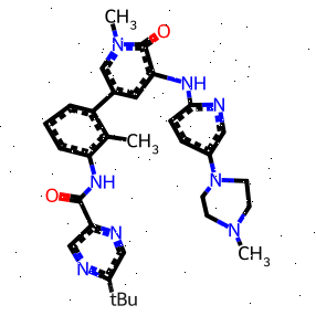 Cc1c(NC(=O)c2cnc(C(C)(C)C)cn2)cccc1-c1cc(Nc2ccc(N3CCN(C)CC3)cn2)c(=O)n(C)c1